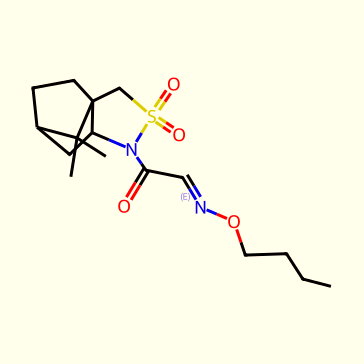 CCCCO/N=C/C(=O)N1C2CC3CCC2(CS1(=O)=O)C3(C)C